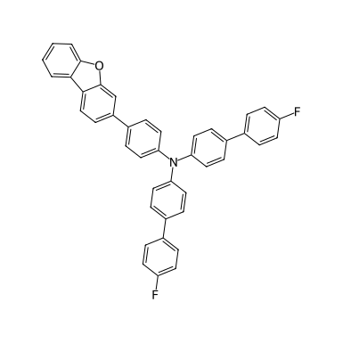 Fc1ccc(-c2ccc(N(c3ccc(-c4ccc(F)cc4)cc3)c3ccc(-c4ccc5c(c4)oc4ccccc45)cc3)cc2)cc1